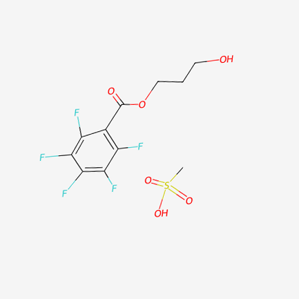 CS(=O)(=O)O.O=C(OCCCO)c1c(F)c(F)c(F)c(F)c1F